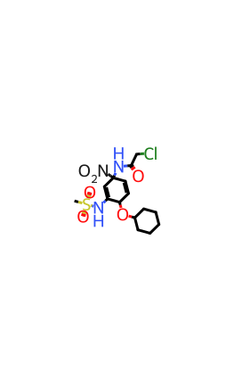 CS(=O)(=O)NC1=CC(NC(=O)CCl)([N+](=O)[O-])C=CC1OC1CCCCC1